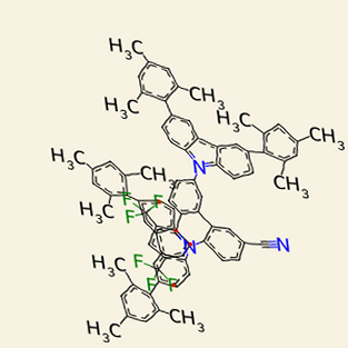 Cc1cc(C)c(-c2ccc3c(c2)c2cc(-c4c(C)cc(C)cc4C)ccc2n3-c2ccc(-c3ccc(C(F)(F)F)cc3C(F)(F)F)c(-c3cc(C#N)ccc3-n3c4ccc(-c5c(C)cc(C)cc5C)cc4c4cc(-c5c(C)cc(C)cc5C)ccc43)c2)c(C)c1